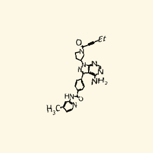 CCC#CC(=O)N1CCC(n2nc(-c3ccc(C(=O)Nc4cc(C)ccn4)cc3)c3c(N)ncnc32)C1